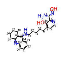 N/C(=N\O)c1nccc(CCCCCNc2c3c(nc4ccccc24)CCCC3)c1O